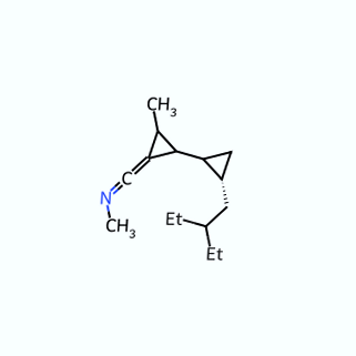 CCC(CC)C[C@H]1CC1C1C(=C=NC)C1C